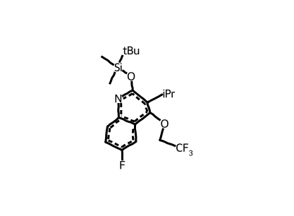 CC(C)c1c(O[Si](C)(C)C(C)(C)C)nc2ccc(F)cc2c1OCC(F)(F)F